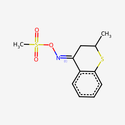 CC1C/C(=N\OS(C)(=O)=O)c2ccccc2S1